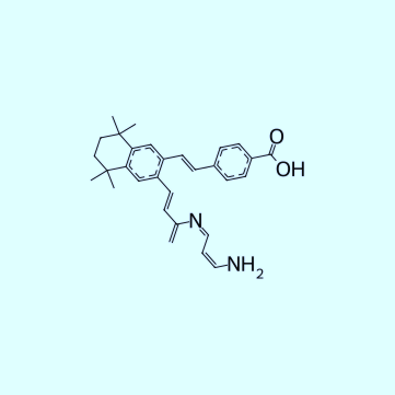 C=C(/C=C/c1cc2c(cc1/C=C/c1ccc(C(=O)O)cc1)C(C)(C)CCC2(C)C)/N=C\C=C/N